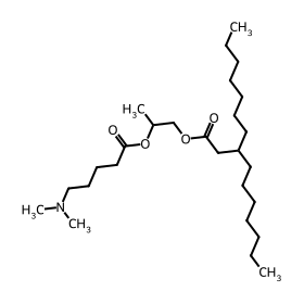 CCCCCCCC(CCCCCCC)CC(=O)OCC(C)OC(=O)CCCCN(C)C